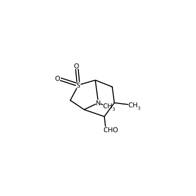 CC1CC2N(C)C(CS2(=O)=O)C1C=O